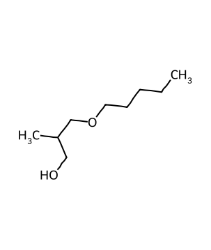 CCCCCOCC(C)CO